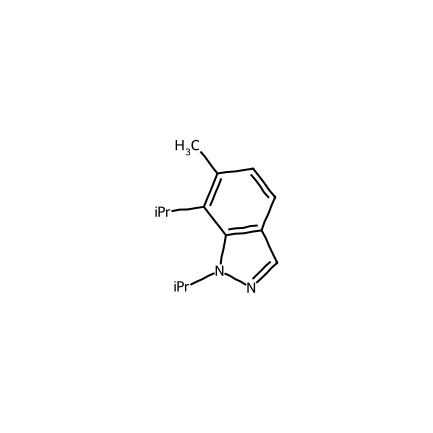 Cc1ccc2cnn(C(C)C)c2c1C(C)C